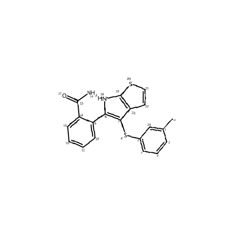 Cc1cccc(Sc2c(-c3ccccc3C(N)=O)[nH]c3sccc23)c1